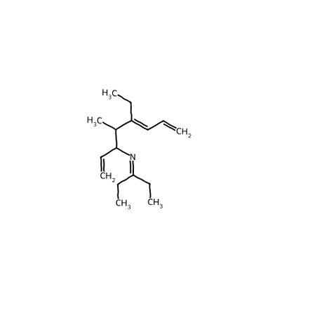 C=C/C=C(\CC)C(C)C(C=C)N=C(CC)CC